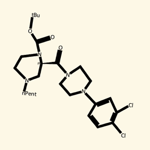 CCCCCN1CCN(C(=O)OC(C)(C)C)[C@@H](C(=O)N2CCN(c3ccc(Cl)c(Cl)c3)CC2)C1